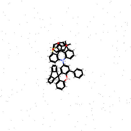 CC1(C)c2ccccc2-c2c(N(c3cc(-c4ccccc4)c4c(c3)C3(c5ccccc5O4)c4ccccc4-c4ccccc43)c3cccc4sc5ccccc5c34)cccc21